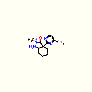 CNC(=O)C1(c2nccc(C)n2)CCCCC1N